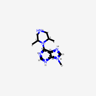 CC1CNCC(C)N1c1ncnc2c1ncn2C